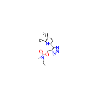 [2H]c1ccc(-c2nnn(C)c2COC(=O)N(C)CCC)nc1C1CC1